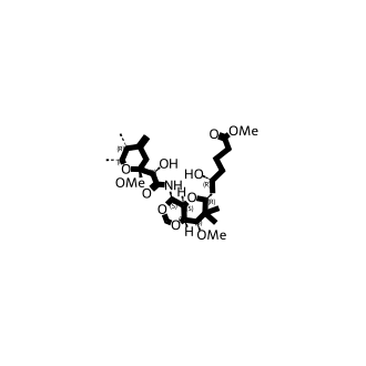 C=C1C[C@](OC)([C@H](O)C(=O)N[C@H]2OCO[C@H]3[C@@H]2O[C@H](C[C@H](O)CCCC(=O)OC)C(C)(C)[C@@H]3OC)O[C@H](C)[C@@H]1C